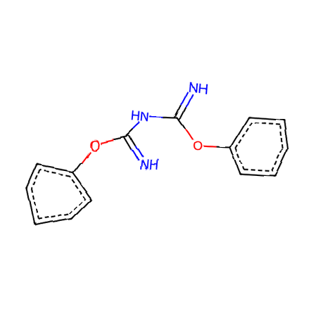 N=C(NC(=N)Oc1ccccc1)Oc1ccccc1